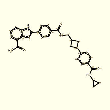 NC(=O)c1cccc2[nH]c(-c3ccc(C(=O)NCC4CN(c5ncc(C(=O)NC6CC6)cn5)C4)cc3)nc12